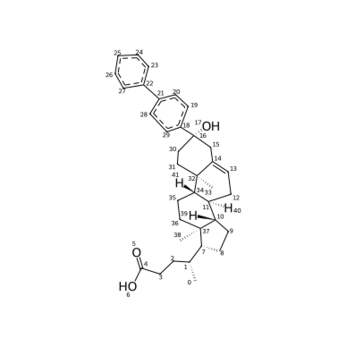 C[C@H](CCC(=O)O)[C@H]1CC[C@H]2[C@@H]3CC=C4C[C@](O)(c5ccc(-c6ccccc6)cc5)CC[C@]4(C)[C@H]3CC[C@]12C